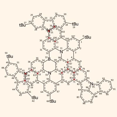 CC(C)(C)c1cc(-c2ccccc2)c(N2c3cc(-n4c5cc(C(C)(C)C)ccc5c5ccc(C(C)(C)C)cc54)ccc3B3c4ccc(-n5c6cc(C(C)(C)C)ccc6c6ccc(C(C)(C)C)cc65)cc4N(c4c(-c5ccccc5)cc(C(C)(C)C)cc4-c4ccccc4)c4cc(-c5ccc6c(c5)c5cccc7c8ccccc8n6c75)cc2c43)c(-c2ccccc2)c1